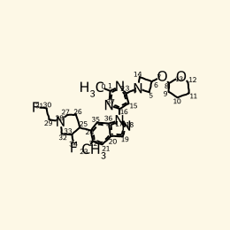 Cc1nc(N2CC(OC3CCCCO3)C2)cc(-n2ncc3cc(C)c(C4CCN(CCF)CC4F)cc32)n1